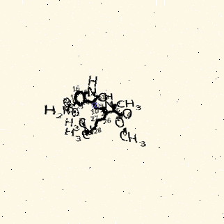 CCOC(=O)c1c(C)[nH]c(/C=C2\C(=O)Nc3ccc(S(N)(=O)=O)cc32)c1CCCN(C)C